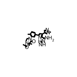 CC(=O)N1CCN(c2cc(-c3cc(-c4cnn(C)c4)c(/C(N)=N\C=N)[nH]3)ccc2C)C(=O)C1(C)C